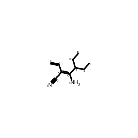 C=C/C(C#N)=C(/N)C(CC)CC